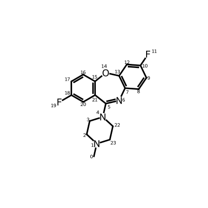 CN1CCN(C2=Nc3ccc(F)cc3Oc3ccc(F)cc32)CC1